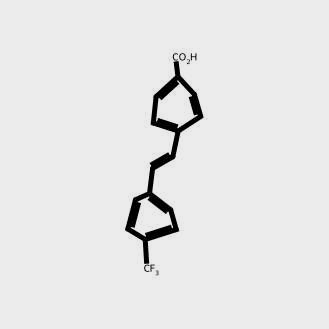 O=C(O)c1ccc(C=Cc2ccc(C(F)(F)F)cc2)cc1